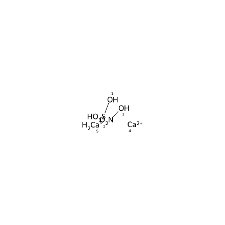 O=S(=O)(O)O.O=[N+]([O-])O.[Ca+2].[CaH2]